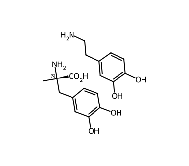 C[C@](N)(Cc1ccc(O)c(O)c1)C(=O)O.NCCc1ccc(O)c(O)c1